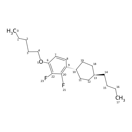 CCCCCOc1ccc([C@H]2CC[C@H](CCCC)CC2)c(F)c1F